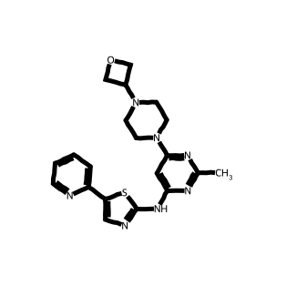 Cc1nc(Nc2ncc(-c3ccccn3)s2)cc(N2CCN(C3COC3)CC2)n1